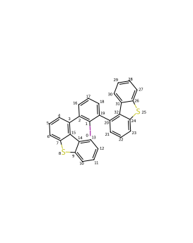 Ic1c(-c2cccc3sc4ccccc4c23)cccc1-c1cccc2sc3ccccc3c12